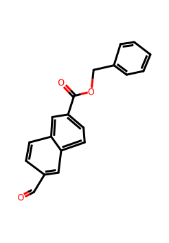 O=Cc1ccc2cc(C(=O)OCc3ccccc3)ccc2c1